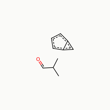 CC(C)C=O.c1cc2cc-2c1